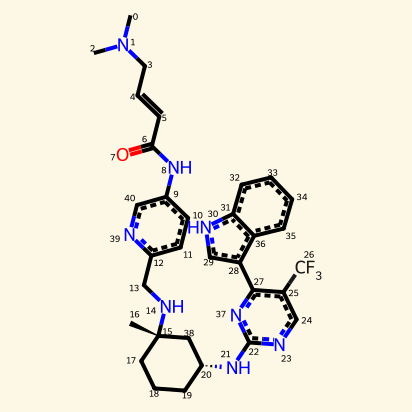 CN(C)C/C=C/C(=O)Nc1ccc(CN[C@@]2(C)CCC[C@@H](Nc3ncc(C(F)(F)F)c(-c4c[nH]c5ccccc45)n3)C2)nc1